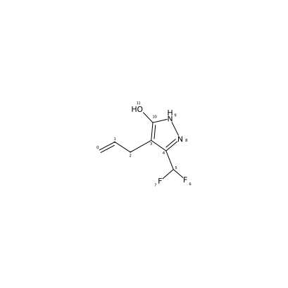 C=CCc1c(C(F)F)n[nH]c1O